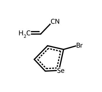 Brc1ccc[se]1.C=CC#N